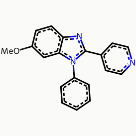 COc1ccc2nc(-c3ccncc3)n(-c3ccccc3)c2c1